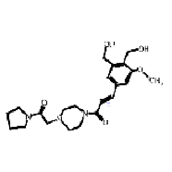 COc1cc(/C=C/C(=O)N2CCN(CC(=O)N3CCCC3)CC2)cc(CO)c1CO